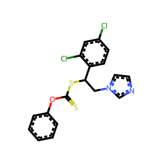 S=C(Oc1ccccc1)SC(Cn1ccnc1)c1ccc(Cl)cc1Cl